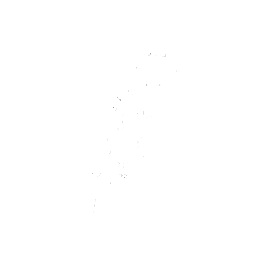 CCCC(=O)Nc1ccc(-c2nnc(-c3ccccc3)o2)cc1